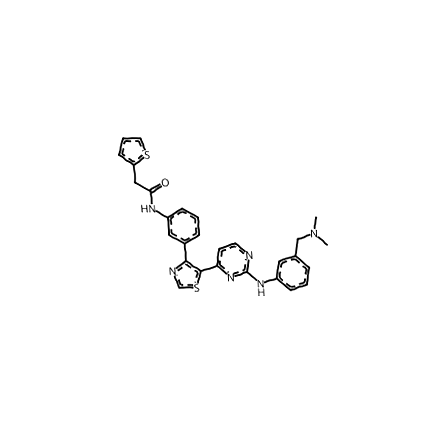 CN(C)Cc1cccc(Nc2nccc(-c3scnc3-c3cccc(NC(=O)Cc4cccs4)c3)n2)c1